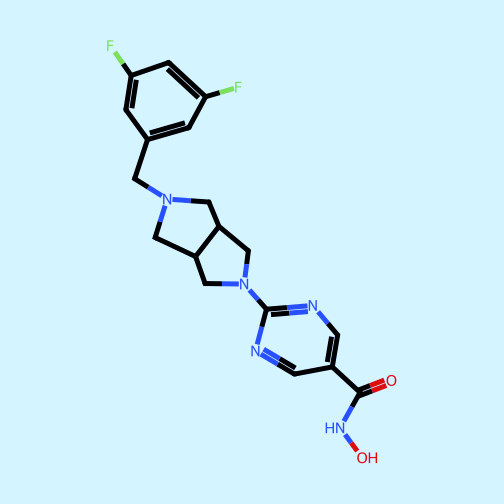 O=C(NO)c1cnc(N2CC3CN(Cc4cc(F)cc(F)c4)CC3C2)nc1